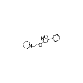 c1ccc(-c2cc(OCCN3CCCCC3)no2)cc1